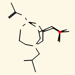 CC(=O)O[Si]12OCC[N+](CC(C)C)(CC(CC(C)C)O1)CC(CC(C)C)O2